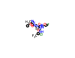 CCc1c(N2CCN(C(=O)c3ncnc(C)c3OCc3ccccc3)CC2)c(=O)n2nc(C3=CC[C@H](F)CO3)nc2n1CC(=O)Nc1ccc(C(F)(F)F)cc1Cl